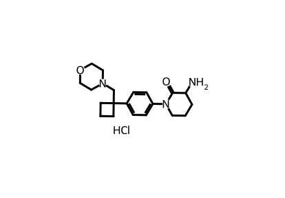 Cl.NC1CCCN(c2ccc(C3(CN4CCOCC4)CCC3)cc2)C1=O